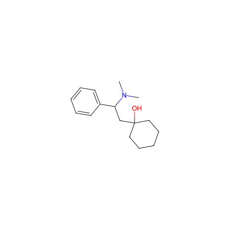 CN(C)C(CC1(O)CCCCC1)c1ccccc1